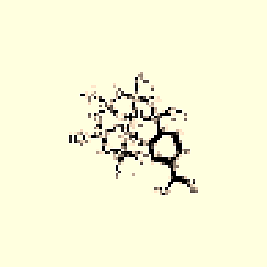 C[Si](C)(C)O[Si](C)(C)O[Si](C)(C)O[Si](C)(C)O[Si](C)(C)c1ccc(C([O])=O)cc1